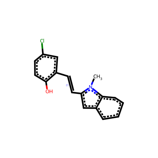 Cn1c(/C=C/c2cc(Cl)ccc2O)cc2ccccc21